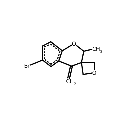 C=C1c2cc(Br)ccc2OC(C)C12COC2